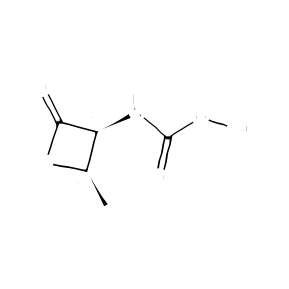 C[C@H]1OC(=O)[C@H]1NC(=O)OC(C)(C)C